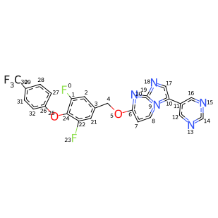 Fc1cc(COc2ccn3c(-c4cncnc4)cnc3n2)cc(F)c1Oc1ccc(C(F)(F)F)cc1